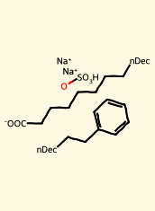 CCCCCCCCCCCCCCCCCC(=O)[O-].CCCCCCCCCCCCc1ccccc1.O=S(=O)([O-])O.[Na+].[Na+]